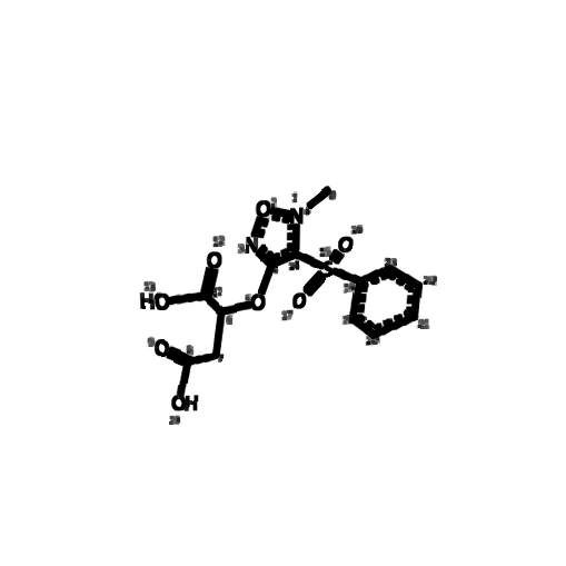 C[n+]1onc(OC(CC(=O)O)C(=O)O)c1S(=O)(=O)c1ccccc1